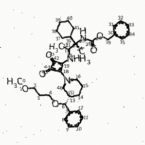 COCCCOC(c1ccccc1)[C@H]1CCCN(c2c(N[C@@H](C)C(C)(NC(=O)OCc3ccccc3)C3CCCCC3)c(=O)c2=O)C1